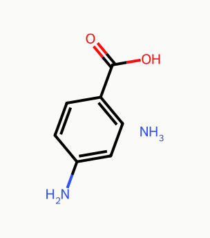 N.Nc1ccc(C(=O)O)cc1